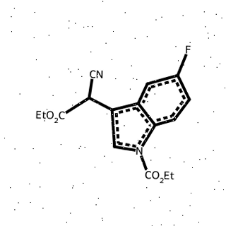 CCOC(=O)C(C#N)c1cn(C(=O)OCC)c2ccc(F)cc12